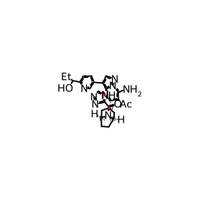 CCC(O)c1ccc(-c2cnn3c(N)c(C(C)=O)c([C@@H]4C[C@H]5CC[C@@H](C4)N5C(=O)c4nnc[nH]4)nc23)cn1